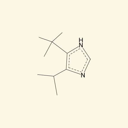 CC(C)c1nc[nH]c1C(C)(C)C